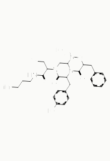 CC(C)CCCNC(=O)C(CC(C)C)N1CC2N(C(=O)O)OC(Cc3ccccc3)C(=O)N2C(Cc2ccc(O)cc2)C1=O